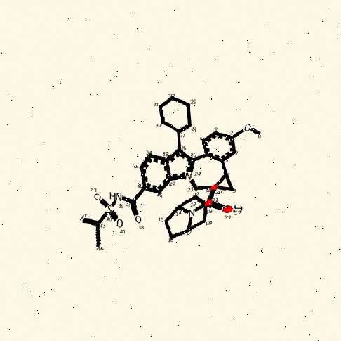 COc1ccc2c(c1)C1CC1(C(=O)N1C3CCC1CC(C)(O)C3)Cn1c-2c(C2CCCCC2)c2ccc(C(=O)NS(=O)(=O)C(C)C)cc21